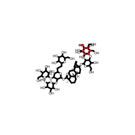 C=C1C[C@@]23CCC4[C@](C)(C(=O)OC5OC(CCC6OC(CO)C(O)C(O)C6O)C(O)C(OC6OC(CO)C(O)C(O)C6O)C5OC5OC(CO)C(O)C(O)C5O)CCC[C@@]4(C)[C@@H]2CCC1(OC1OC(CO)C(O)C(OC2OC(CO)C(O)C(O)C2O)C1OC1OC(CO)C(O)C(O)C1O)C3